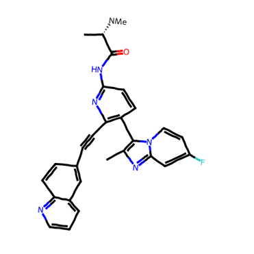 CN[C@@H](C)C(=O)Nc1ccc(-c2c(C)nc3cc(F)ccn23)c(C#Cc2ccc3ncccc3c2)n1